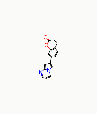 O=C1CCc2ccc(-c3cc4ncccn4c3)cc2O1